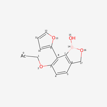 CC(=O)COc1ccc2c(c1-c1ccco1)B(O)OC2